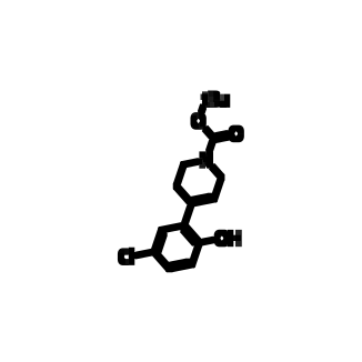 CC(C)(C)OC(=O)N1CC=C(c2cc(Cl)ccc2O)CC1